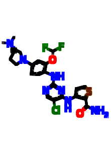 CN(C)[C@@H]1CCN(c2ccc(Nc3ncc(Cl)c(Nc4ccsc4C(N)=O)n3)c(OC(F)F)c2)C1